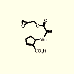 C=C(C)C(=O)OCC1CO1.CCCCC1CCC=C1C(=O)O